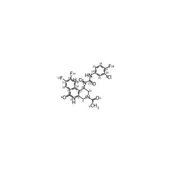 CC(=O)N1Cc2[nH]c(=O)c3cc(F)c(F)cc3c2[C@@H](N(C)C(=O)Nc2ccc(F)c(Cl)c2)C1